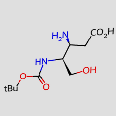 CC(C)(C)OC(=O)N[C@H](CO)[C@@H](N)CC(=O)O